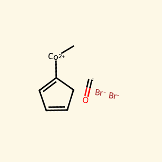 [Br-].[Br-].[CH3][Co+2][C]1=CC=CC1.[C]=O